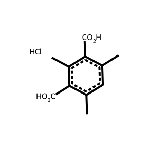 Cc1cc(C)c(C(=O)O)c(C)c1C(=O)O.Cl